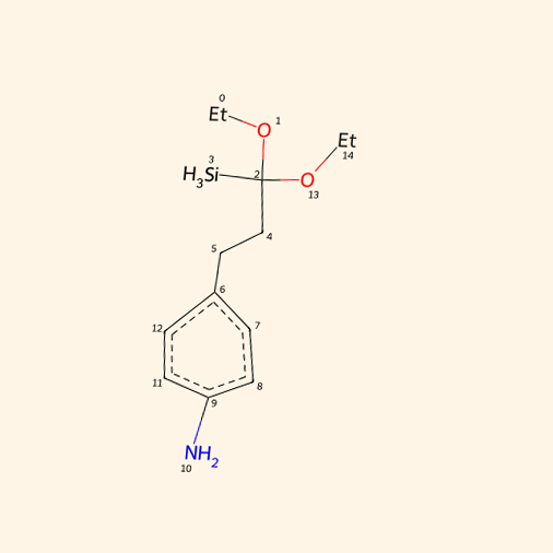 CCOC([SiH3])(CCc1ccc(N)cc1)OCC